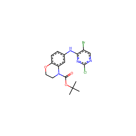 CC(C)(C)OC(=O)N1CCOc2ccc(Nc3nc(Cl)ncc3Br)cc21